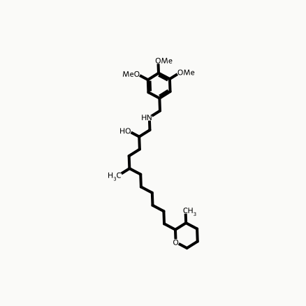 COc1cc(CNCC(O)CCC(C)CCCCCCC2OCCCC2C)cc(OC)c1OC